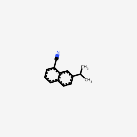 CC(C)c1ccc2cccc(C#N)c2c1